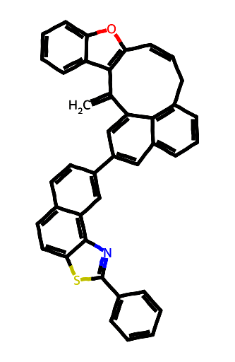 C=C1c2c(oc3ccccc23)/C=C\Cc2cccc3cc(-c4ccc5ccc6sc(-c7ccccc7)nc6c5c4)cc1c23